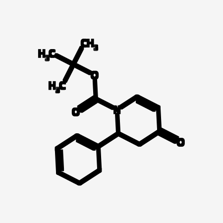 CC(C)(C)OC(=O)N1C=CC(=O)CC1C1=CC=CCC1